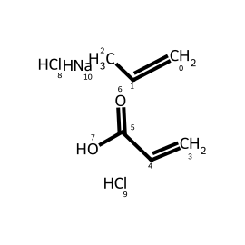 C=CC.C=CC(=O)O.Cl.Cl.[NaH]